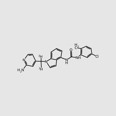 [2H]C([2H])(c1ccnc(N)c1)n1ccc2c(NC(=O)Nc3cc(Cl)ccc3C)cccc21